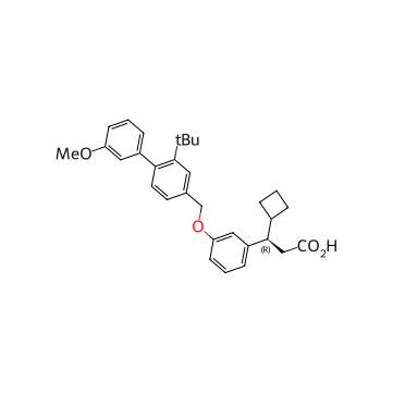 COc1cccc(-c2ccc(COc3cccc([C@H](CC(=O)O)C4CCC4)c3)cc2C(C)(C)C)c1